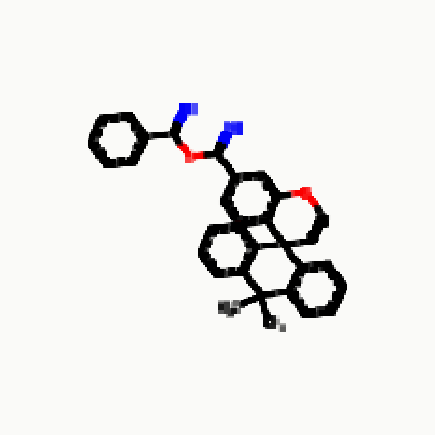 CC1(C)c2ccccc2C2(c3ccccc3Oc3cc(C(=N)OC(=N)c4ccccc4)ccc32)c2ccccc21